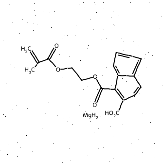 C=C(C)C(=O)OCCOC(=O)c1c(C(=O)O)ccc2ccccc12.[MgH2]